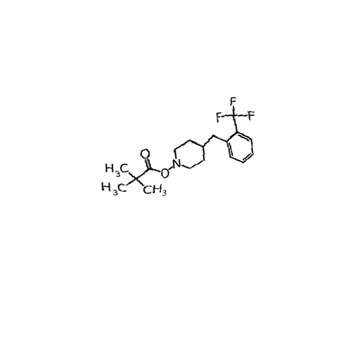 CC(C)(C)C(=O)ON1CCC(Cc2ccccc2C(F)(F)F)CC1